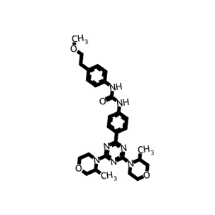 COCCc1ccc(NC(=O)Nc2ccc(-c3nc(N4CCOCC4C)nc(N4CCOCC4C)n3)cc2)cc1